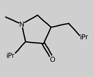 CC(C)CC1CN(C)C(C(C)C)C1=O